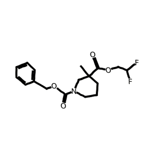 CC1(C(=O)OCC(F)F)CCCN(C(=O)OCc2ccccc2)C1